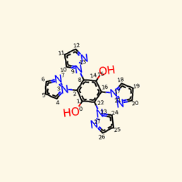 Oc1c(-n2cccn2)c(-n2cccn2)c(O)c(-n2cccn2)c1-n1cccn1